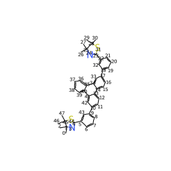 CC1(C)N=C(c2cccc(-c3ccc4c5ccc(-c6cccc(C7=NC(C)(C)C(C)(C)S7)c6)cc5c5ccccc5c4c3)c2)SC1(C)C